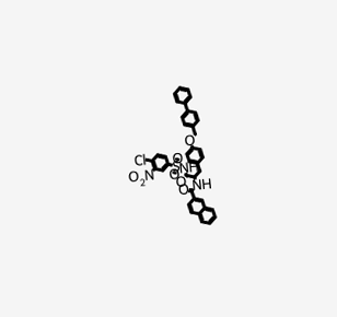 O=C(NC(Cc1ccc(OCc2ccc(-c3ccccc3)cc2)cc1)C(=O)NS(=O)(=O)c1ccc(Cl)c([N+](=O)[O-])c1)c1ccc2ccccc2c1